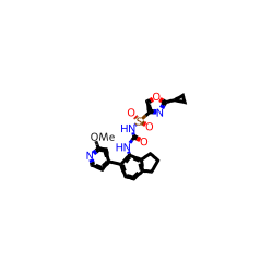 COc1cc(-c2ccc3c(c2NC(=O)NS(=O)(=O)c2coc(C4CC4)n2)CCC3)ccn1